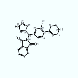 O=C1c2ccccc2C(=O)N1C(c1ccc(C2=CCNCC2)c(F)c1)c1c[nH]nn1